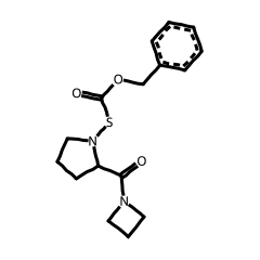 O=C(OCc1ccccc1)SN1CCCC1C(=O)N1CCC1